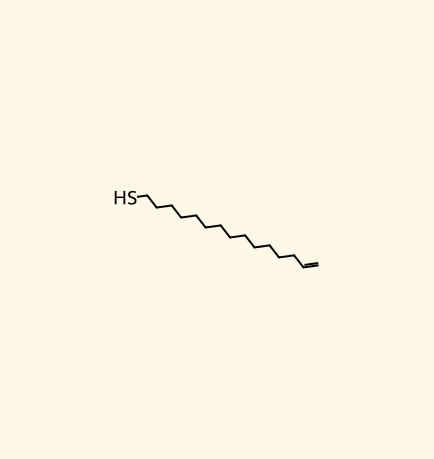 C=CCCCCCCCCCCCCCS